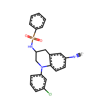 [C-]#[N+]c1ccc2c(c1)CC(NS(=O)(=O)c1ccccc1)CN2c1cccc(Cl)c1